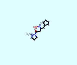 O=CN(O)C(CC(=O)N1CCCN1C(=O)O)CC1CCCC1